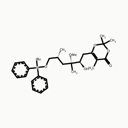 CO[C@](C)(C[C@@H](C)CO[Si](c1ccccc1)(c1ccccc1)C(C)(C)C)[C@H](O)CC1=C(C)C(=O)OC(C)(C)O1